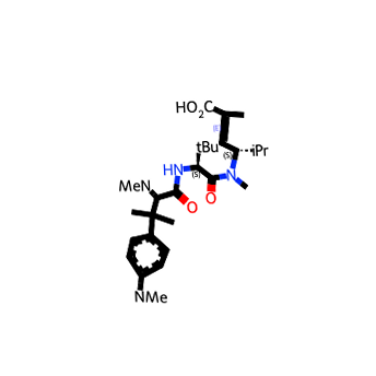 CNc1ccc(C(C)(C)C(NC)C(=O)N[C@H](C(=O)N(C)[C@H](/C=C(\C)C(=O)O)C(C)C)C(C)(C)C)cc1